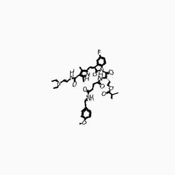 CCN(CC)CCNC(=O)c1c(C)[nH]c(/C=C2\C(=O)N(C(=O)[C@H](CCOC(=O)C(C)C)NC(=O)CCC(=O)NCc3ccc(OC)cc3)c3ccc(F)cc32)c1C